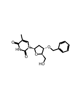 Cc1cn([C@H]2C[C@H](OCc3ccccc3)[C@@H](CO)O2)c(=O)[nH]c1=O